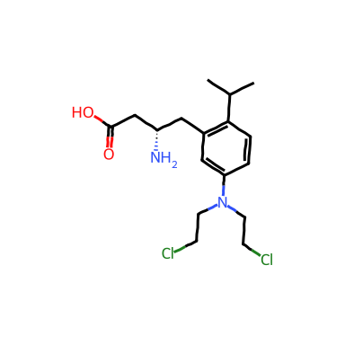 CC(C)c1ccc(N(CCCl)CCCl)cc1C[C@H](N)CC(=O)O